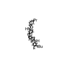 CC(C)N1CCN(CC(=O)Nc2cc(Oc3ccc4c(c3)nc(Nc3ccc(F)c(C(C)(C)C)c3)n4C)ccn2)CC1